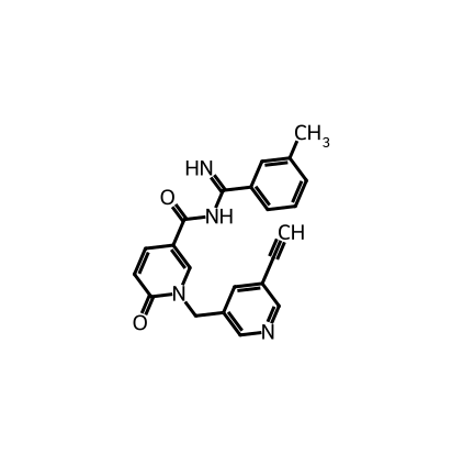 C#Cc1cncc(Cn2cc(C(=O)NC(=N)c3cccc(C)c3)ccc2=O)c1